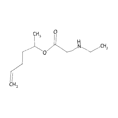 C=CCCC(C)OC(=O)CNCC